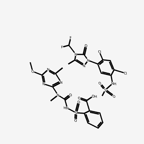 COc1nc(C)nc(N(C)C(=O)NS(=O)(=O)c2ccccc2C(=O)O)n1.Cc1nn(-c2cc(NS(C)(=O)=O)c(Cl)cc2Cl)c(=O)n1C(F)F